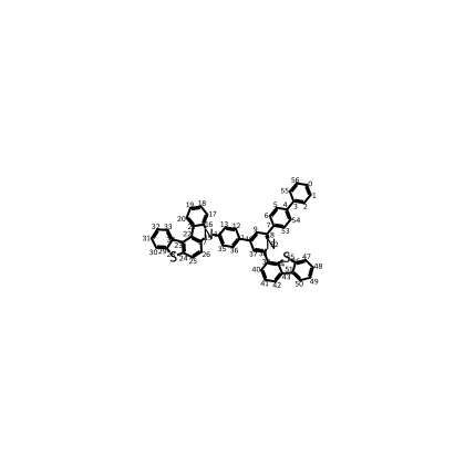 c1ccc(-c2ccc(-c3cc(-c4ccc(-n5c6ccccc6c6c7c(ccc65)sc5ccccc57)cc4)cc(-c4cccc5c4sc4ccccc45)n3)cc2)cc1